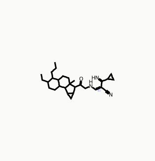 CCCC1C(CC)CCC2C1CCC1(C)C(C(=O)CN/C=C(/C#N)C(=N)C3CC3)C3CC3C21